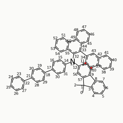 CC1(C)c2ccccc2-c2ccc(N(c3ccc(-c4ccc(-c5ccccc5)cc4)cc3)c3c(-c4ccc5ccccc5c4)c4ccccc4c4ccccc34)cc21